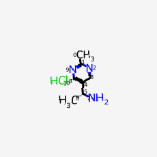 Cc1ncc([C@@H](C)N)cn1.Cl